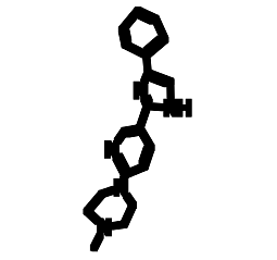 CN1CCN(c2ccc(-c3nc(-c4ccccc4)c[nH]3)cn2)CC1